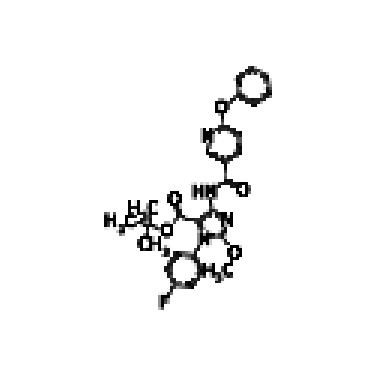 COc1nc(NC(=O)c2ccc(Oc3ccccc3)nc2)c(C(=O)OC(C)(C)C)n1-c1ccc(F)cc1